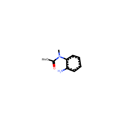 COC(=O)N(C)c1ccccc1N